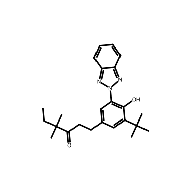 CCC(C)(C)C(=O)CCc1cc(-n2nc3ccccc3n2)c(O)c(C(C)(C)C)c1